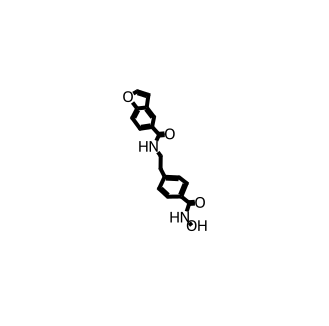 O=C(NO)c1ccc(CCNC(=O)c2ccc3occc3c2)cc1